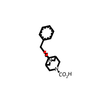 O=C(O)N1CC2CN(Cc3ccccc3)CC(C1)C21CCCCC1